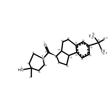 CC1(O)CCN(C(=O)[C@@H]2CCC3c4ccc(C(F)(C(F)(F)F)C(F)(F)F)cc4CCC32)CC1